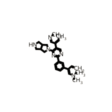 C=C/C(=C\N(C)C)c1cccc(-c2ncc(C(/C=N\C)=C/C)c(N3CC4CNCC4C3)n2)c1